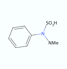 CNN(c1ccccc1)S(=O)(=O)O